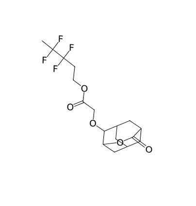 CC(F)(F)C(F)(F)CCOC(=O)COC1C2CC3CC(C2)C(=O)OC1C3